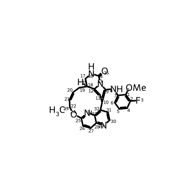 COc1c(F)cccc1Nc1c2cc3n1C(=O)NC[C@H]3C/C=C\[C@@H](C)Oc1ccc3nccc-2c3n1